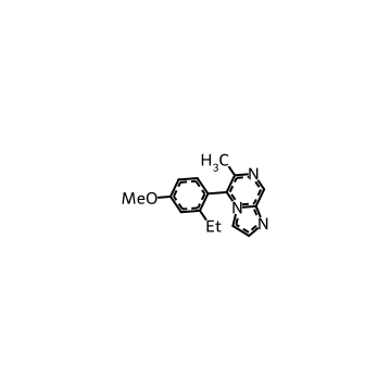 CCc1cc(OC)ccc1-c1c(C)ncc2nccn12